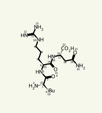 CC[C@H](C)[C@H](N)C(=O)N[C@@H](CCCNC(=N)N)C(=O)N[C@@H](CC(N)=O)C(=O)O